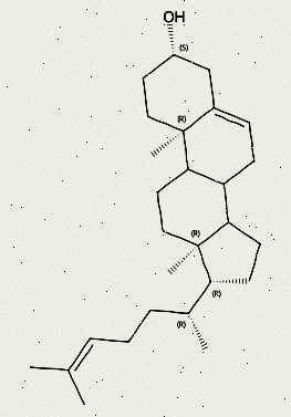 CC(C)=CCC[C@@H](C)[C@H]1CCC2C3CC=C4C[C@@H](O)CC[C@]4(C)C3CC[C@@]21C